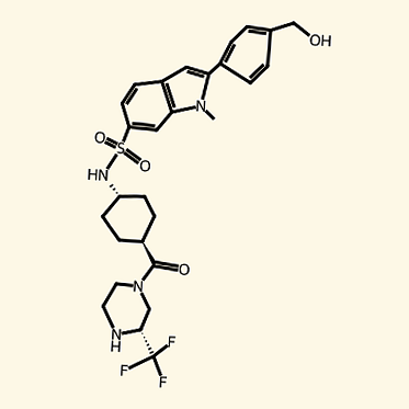 Cn1c(-c2ccc(CO)cc2)cc2ccc(S(=O)(=O)N[C@H]3CC[C@H](C(=O)N4CCN[C@@H](C(F)(F)F)C4)CC3)cc21